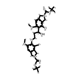 COc1cc2c(c(F)c1OCCC(O)c1c(OC)cc3c(c1Cl)CN(C(=O)OC(C)(C)C)C3)CN(C(=O)OC(C)(C)C)C2